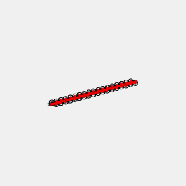 CC(=O)CCCCC(=O)C(=O)CCCCC(=O)C(=O)CCCCC(=O)C(=O)CCCCC(=O)C(=O)CCCCC(=O)C(=O)CCCCC(=O)C(=O)CCCCC(=O)C(=O)CCCCC(=O)C(=O)CCCCC(=O)C(=O)CCCCC(=O)C(=O)CCCCC(=O)C(=O)CCCCC(=O)C(=O)CCCCC(=O)C(=O)CCCCC(=O)C(=O)CCCCC(=O)C(=O)CCCCC(=O)C(=O)CCCCC(=O)C(=O)CCCCC(C)=O